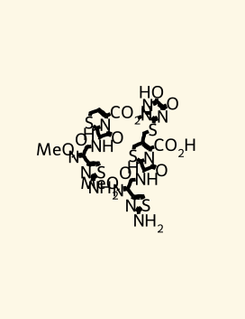 CO/N=C(\C(=O)N[C@@H]1C(=O)N2C(C(=O)O)=C(CSc3nc(=O)c(O)nn3C)CS[C@H]12)c1csc(N)n1.CO/N=C(\C(=O)N[C@@H]1C(=O)N2C(C(=O)O)=CCS[C@H]12)c1csc(N)n1